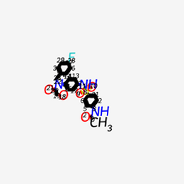 CC(=O)Nc1ccc(S(=O)(=O)Nc2ccc3c(c2)OCC(=O)N3Cc2ccc(F)cc2)cc1